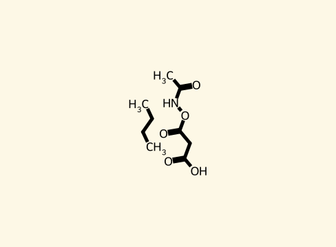 CC(=O)NOC(=O)CC(=O)O.CCCC